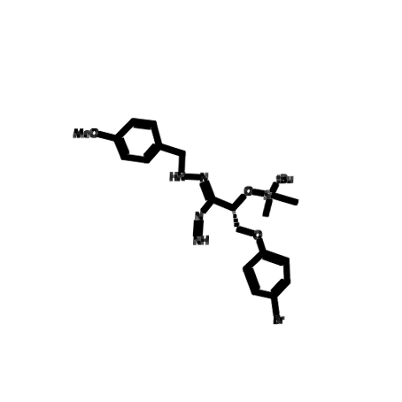 COc1ccc(CN/N=C(\N=N)[C@@H](COc2ccc(Br)cc2)O[Si](C)(C)C(C)(C)C)cc1